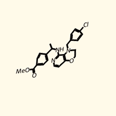 COC(=O)c1ccc(C(C)Nc2nccc3c2N(Cc2ccc(Cl)cc2)CCO3)cc1